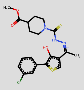 COC(=O)C1CCN(C(=S)N/N=C(/C)c2csc(-c3cccc(Cl)c3)c2O)CC1